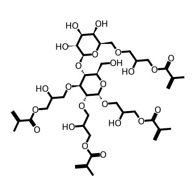 C=C(C)C(=O)OCC(O)COC[C@H]1O[C@@H](O[C@H]2[C@H](OCC(O)COC(=O)C(=C)C)[C@@H](OCC(O)COC(=O)C(=C)C)[C@@H](OCC(O)COC(=O)C(=C)C)O[C@@H]2CO)[C@H](O)[C@@H](O)[C@H]1O